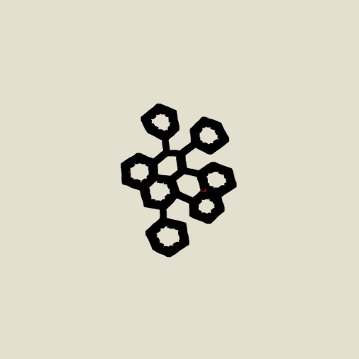 c1ccc(C2=C(c3ccccc3)C(c3ccccc3)c3cccc4cc(-c5ccccc5)c(-c5ccccc5)c2c34)cc1